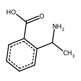 CC(N)c1ccccc1C(=O)O